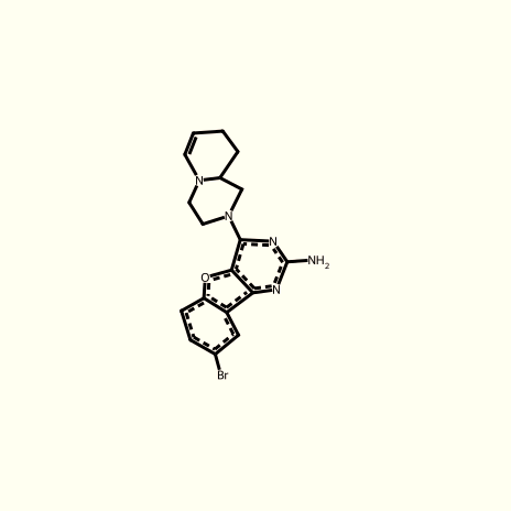 Nc1nc(N2CCN3C=CCCC3C2)c2oc3ccc(Br)cc3c2n1